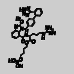 CCOc1nc2cccc(C(=O)NC(CCCNC(=N)N)C(=O)OCCCCON(O)O)c2n1Cc1ccc(-c2ccccc2-c2nn[nH]n2)cc1